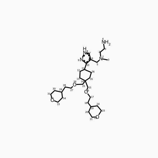 CN(CCN)Cc1c[nH]nc1C1CCC(COCCC2CCOCC2)(COCCC2CCOCC2)CC1